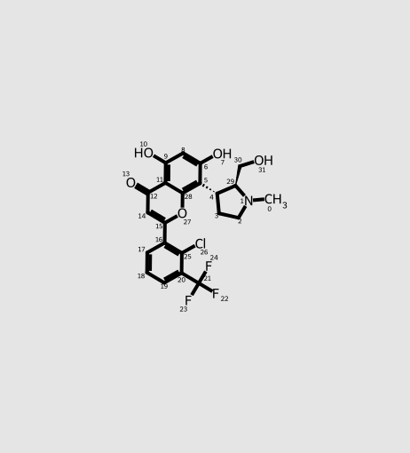 CN1CC[C@H](c2c(O)cc(O)c3c(=O)cc(-c4cccc(C(F)(F)F)c4Cl)oc23)[C@H]1CO